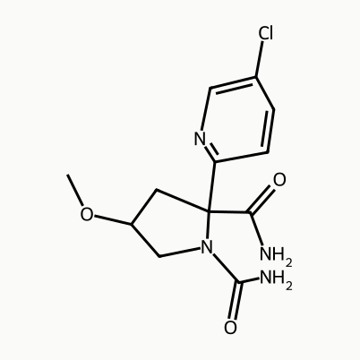 COC1CN(C(N)=O)C(C(N)=O)(c2ccc(Cl)cn2)C1